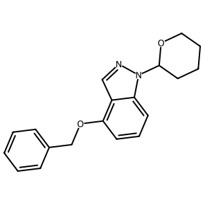 c1ccc(COc2cccc3c2cnn3C2CCCCO2)cc1